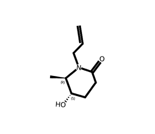 C=CCN1C(=O)CC[C@H](O)[C@H]1C